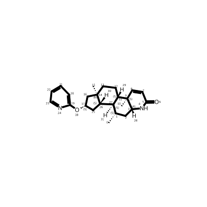 C[C@H]1C[C@H]2NC(=O)C=C[C@]2(C)[C@H]2CC[C@]3(C)C[C@@H](Oc4ccccn4)C[C@H]3[C@H]12